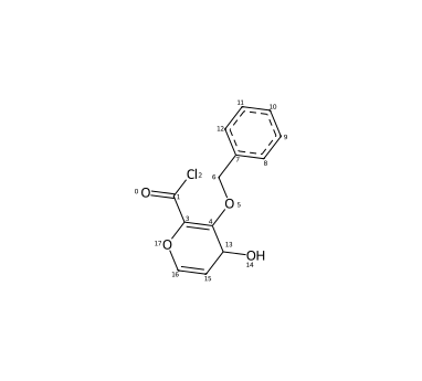 O=C(Cl)C1=C(OCc2ccccc2)C(O)C=CO1